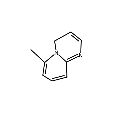 CC1=CC=CC2=NC=CCN12